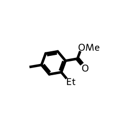 CCc1cc(C)ccc1C(=O)OC